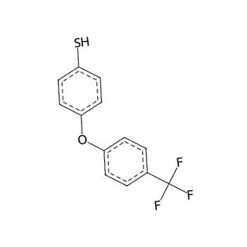 FC(F)(F)c1ccc(Oc2ccc(S)cc2)cc1